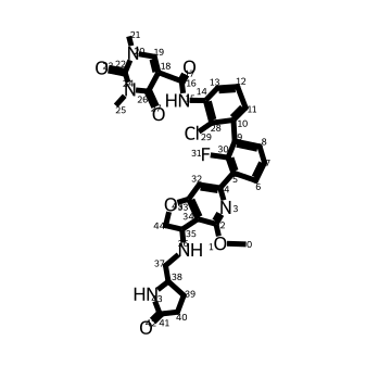 COc1nc(-c2cccc(-c3cccc(NC(=O)c4cn(C)c(=O)n(C)c4=O)c3Cl)c2F)cc2c1C(NCC1CCC(=O)N1)CO2